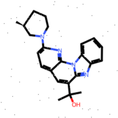 C[C@H]1CCCN(c2ccc3cc(C(C)(C)O)c4nc5ccccc5n4c3n2)C1